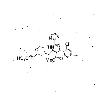 COC(=O)C1=C(CN2CCOC(/C=C/C(=O)O)C2)NC(c2nccs2)=NC1c1ccc(F)cc1Cl